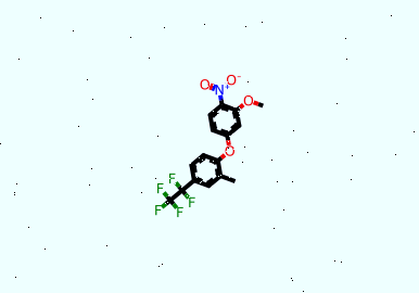 COc1cc(Oc2ccc(C(F)(F)C(F)(F)F)cc2C)ccc1[N+](=O)[O-]